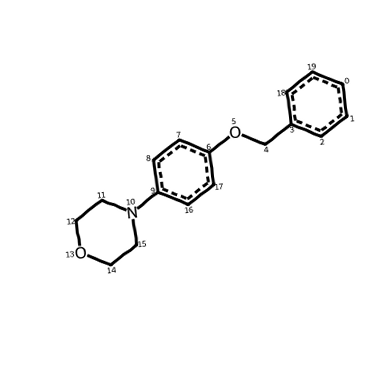 c1ccc(COc2ccc(N3CCOCC3)cc2)cc1